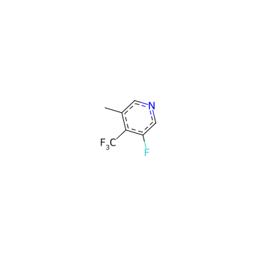 Cc1cncc(F)c1C(F)(F)F